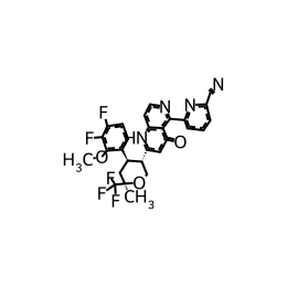 COc1c([C@@H]2C[C@](C)(C(F)(F)F)OC[C@H]2c2cc(=O)c3c(-c4cccc(C#N)n4)nccc3[nH]2)ccc(F)c1F